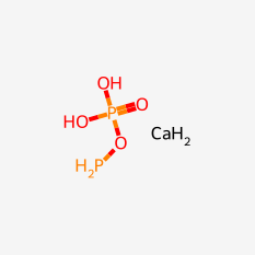 O=P(O)(O)OP.[CaH2]